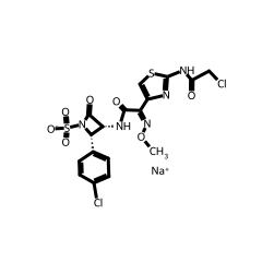 CON=C(C(=O)N[C@H]1C(=O)N(S(=O)(=O)[O-])[C@H]1c1ccc(Cl)cc1)c1csc(NC(=O)CCl)n1.[Na+]